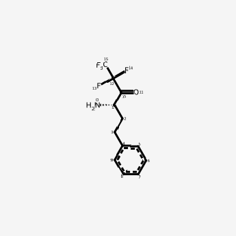 N[C@@H](CCc1ccccc1)C(=O)C(F)(F)C(F)(F)F